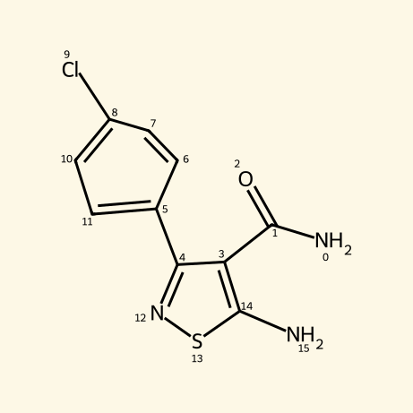 NC(=O)c1c(-c2ccc(Cl)cc2)nsc1N